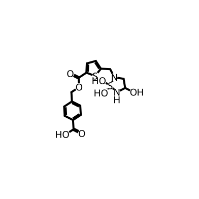 O=C(O)c1ccc(COC(=O)c2ccc(CN3CC(O)NS3(O)O)s2)cc1